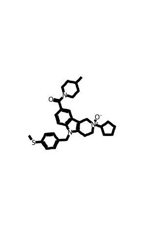 CSc1ccc(Cn2c3c(c4cc(C(=O)N5CCC(C)CC5)ccc42)C[N+]([O-])(C2CCCC2)CC3)cc1